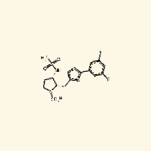 CS(=O)(=O)N[C@H]1CCN(C(=O)O)[C@H]1Cc1csc(-c2cc(F)cc(F)c2)n1